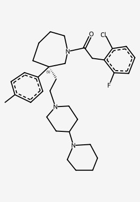 Cc1ccc([C@@]2(CCN3CCC(N4CCCCC4)CC3)CCCCN(C(=O)Cc3c(F)cccc3Cl)C2)cc1